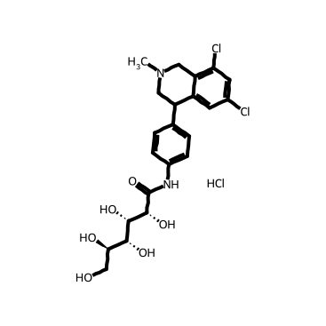 CN1Cc2c(Cl)cc(Cl)cc2C(c2ccc(NC(=O)[C@H](O)[C@@H](O)[C@H](O)[C@H](O)CO)cc2)C1.Cl